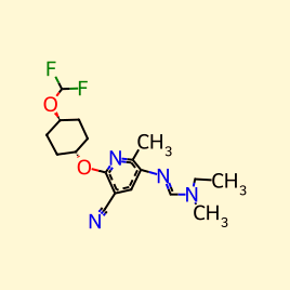 CCN(C)C=Nc1cc(C#N)c(O[C@H]2CC[C@H](OC(F)F)CC2)nc1C